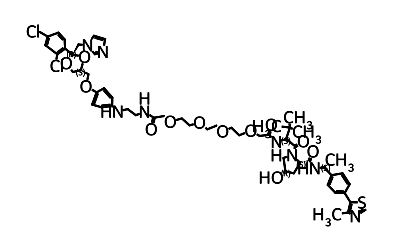 Cc1ncsc1-c1ccc([C@H](C)NC(=O)[C@@H]2C[C@@H](O)CN2C(=O)[C@@H](NC(=O)COCCOCCOCCOCC(=O)NCCNc2ccc(OC[C@H]3CO[C@](Cn4ccnc4)(c4ccc(Cl)cc4Cl)O3)cc2)C(C)(C)C)cc1